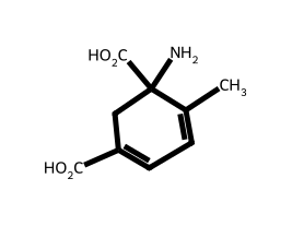 CC1=CC=C(C(=O)O)CC1(N)C(=O)O